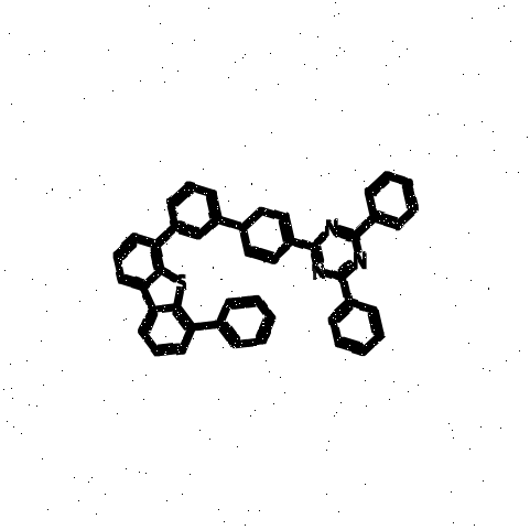 C1=CC(c2cccc(-c3cccc4c3sc3c(-c5ccccc5)cccc34)c2)CC=C1c1nc(-c2ccccc2)nc(-c2ccccc2)n1